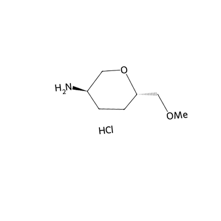 COC[C@@H]1CC[C@@H](N)CO1.Cl